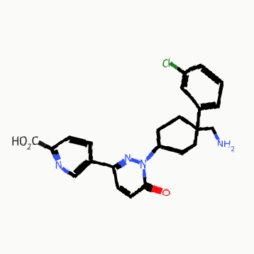 NCC1(c2cccc(Cl)c2)CCC(n2nc(-c3ccc(C(=O)O)nc3)ccc2=O)CC1